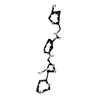 CCc1ccc(CNC(=O)c2cccc(NCc3nnc(-c4ccncn4)n3C)c2)nc1